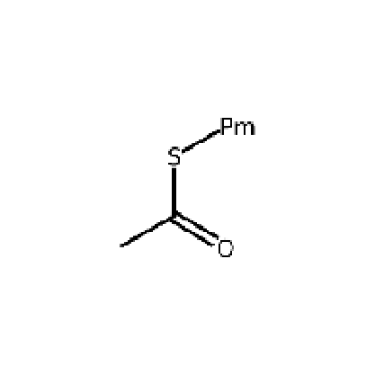 CC(=O)[S][Pm]